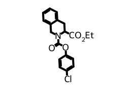 CCOC(=O)C1Cc2ccccc2CN1C(=O)Oc1ccc(Cl)cc1